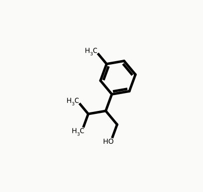 Cc1cccc(C(CO)C(C)C)c1